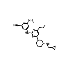 CCCc1cc(N2CCC[C@@H](NCC3CC3)C2)nc(Nc2cc(N)cc(C#N)c2)n1